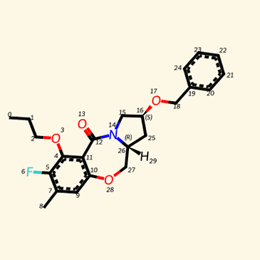 CCCOc1c(F)c(C)cc2c1C(=O)N1C[C@@H](OCc3ccccc3)C[C@@H]1CO2